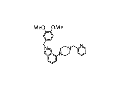 COc1ccc(Cn2cc3cccc(N4CCN(Cc5ccccn5)CC4)c3c2)cc1OC